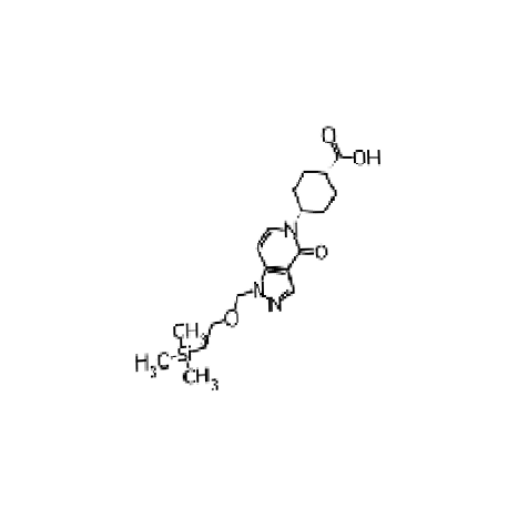 C[Si](C)(C)CCOCn1ncc2c(=O)n([C@H]3CC[C@@H](C(=O)O)CC3)ccc21